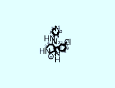 O=C1NCC/C(=N\Nc2ccncc2)c2c1[nH]c1ccc(Cl)cc21